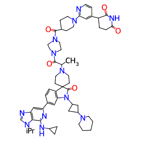 CC(C(=O)N1CCN(C(=O)C2CCN(c3cc(C4CCC(=O)NC4=O)ccn3)CC2)CC1)N1CCC2(CC1)C(=O)N(C1CC(N3CCCCC3)C1)c1cc(-c3cc4ncn(C(C)C)c4c(NC4CC4)n3)ccc12